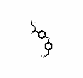 CCOC(=O)c1ccc(Oc2ccc(CN)cc2)cc1